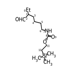 CCC(C=O)CCCCNC(=O)OCC[Si](C)(C)C